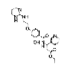 CCOC(=O)CC(NC(=O)c1ccc(OCCNC2=NCCCN2)cc1O)c1cccnc1